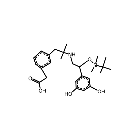 CC(C)(Cc1cccc(CC(=O)O)c1)NCC(O[Si](C)(C)C(C)(C)C)c1cc(O)cc(O)c1